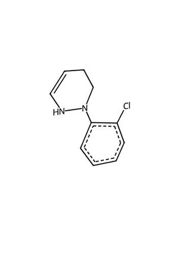 Clc1ccccc1N1CCC=CN1